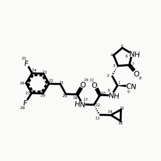 N#C[C@H](C[C@@H]1CCNC1=O)NC(=O)[C@H](CC1CC1)NC(=O)CCc1cc(F)cc(F)c1